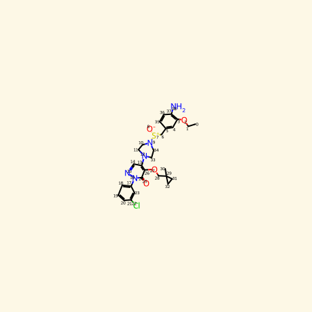 CCOc1cc(C[S+]([O-])N2CCN(c3cnn(-c4cccc(Cl)c4)c(=O)c3OCC3(C)CC3)CC2)ccc1N